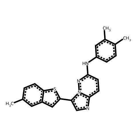 Cc1ccc2sc(-c3cnc4ccc(Nc5ccc(C)c(C)c5)nn34)cc2c1